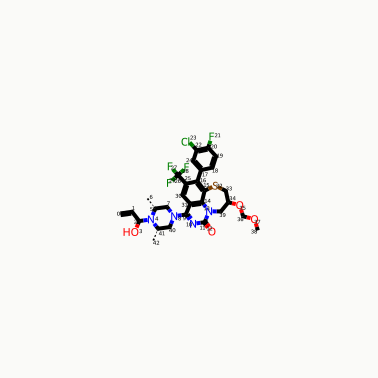 C=CC(O)N1[C@H](C)CN(c2nc(=O)n3c4c(c(-c5ccc(F)c(Cl)c5)c(C(F)(F)F)cc24)SCC(OCOC)C3)C[C@@H]1C